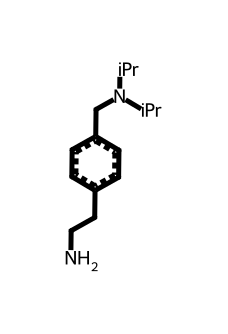 CC(C)N(Cc1ccc(CCN)cc1)C(C)C